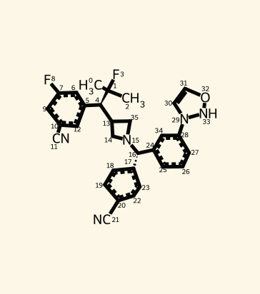 CC(C)(F)[C@H](c1cc(F)cc(C#N)c1)C1CN([C@@H](c2ccc(C#N)cc2)c2cccc(N3C=CON3)c2)C1